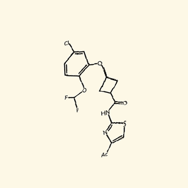 CC(=O)c1csc(NC(=O)C2CC(Oc3cc(Cl)ccc3OC(F)F)C2)n1